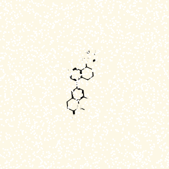 CCS(=O)(=O)NC1CCCc2c(-c3cc(Cl)c4c(c3)CCC(=O)N4C)cncc21